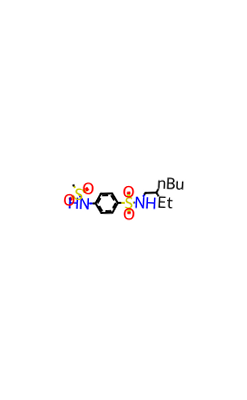 CCCCC(CC)CNS(=O)(=O)c1ccc(NS(C)(=O)=O)cc1